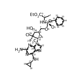 CCOC(=O)[C@@H](C)N[P@@](=O)(OC[C@H]1O[C@@H](n2cnc3c(NC4CC4)nc(N)nc32)[C@@](Cl)(C(F)(F)F)[C@@H]1O)Oc1ccccc1